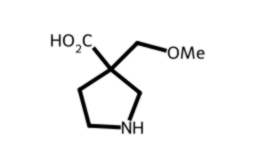 COCC1(C(=O)O)CCNC1